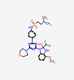 COc1cccc2c1NC(O)(C(F)F)N2c1nc(-c2ccc(NS(=O)(=O)CCN(C)C)cc2)nc(N2CCOCC2)n1